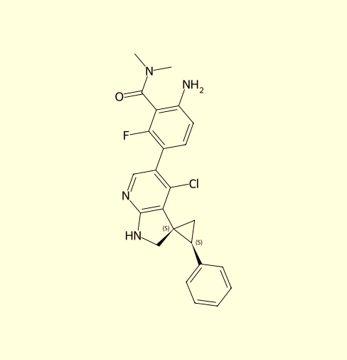 CN(C)C(=O)c1c(N)ccc(-c2cnc3c(c2Cl)[C@]2(CN3)C[C@H]2c2ccccc2)c1F